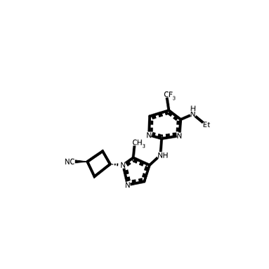 CCNc1nc(Nc2cnn([C@H]3C[C@H](C#N)C3)c2C)ncc1C(F)(F)F